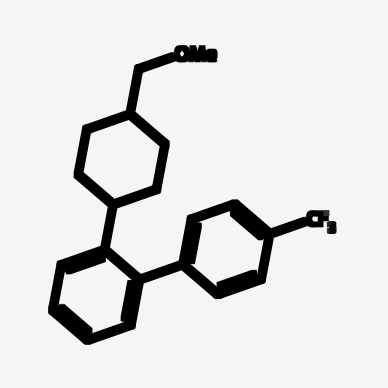 COCC1CCC(c2ccccc2-c2ccc(C(F)(F)F)cc2)CC1